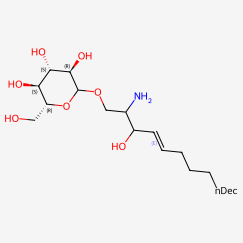 CCCCCCCCCCCCC/C=C/C(O)C(N)COC1O[C@H](CO)[C@@H](O)[C@H](O)[C@H]1O